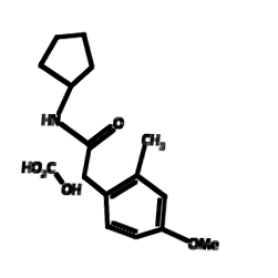 COc1ccc(CC(=O)NC2CCCC2)c(C)c1.O=C(O)O